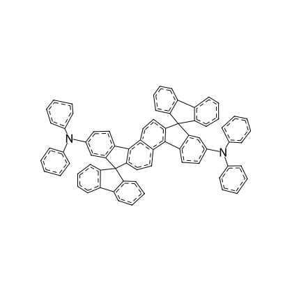 c1ccc(N(c2ccccc2)c2ccc3c(c2)C2(c4ccccc4-c4ccccc42)c2ccc4c5c(ccc4c2-3)C2(c3ccccc3-c3ccccc32)c2cc(N(c3ccccc3)c3ccccc3)ccc2-5)cc1